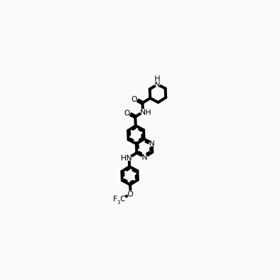 O=C(NC(=O)C1CCCNC1)c1ccc2c(Nc3ccc(OC(F)(F)F)cc3)ncnc2c1